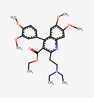 CCOC(=O)c1c(CCN(CC)CC)nc2cc(OC)c(OC)cc2c1-c1ccc(OC)c(OC)c1